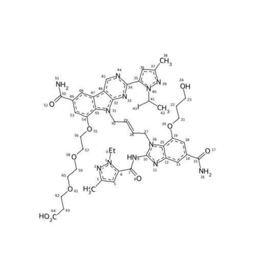 CCn1nc(C)cc1C(=O)Nc1nc2cc(C(N)=O)cc(OCCCO)c2n1CC=CCn1c2nc(-c3cc(C)nn3C(C)I)ncc2c2cc(C(N)=O)cc(OCCOCCOCCC(=O)O)c21